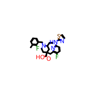 CCC1CC(Cc2nc(Nc3nccs3)ccc2F)(C(=O)O)CCN1Cc1cccc(C)c1F